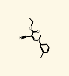 CCOC(=O)/C(C#N)=C\N(C)c1cccc(C)c1